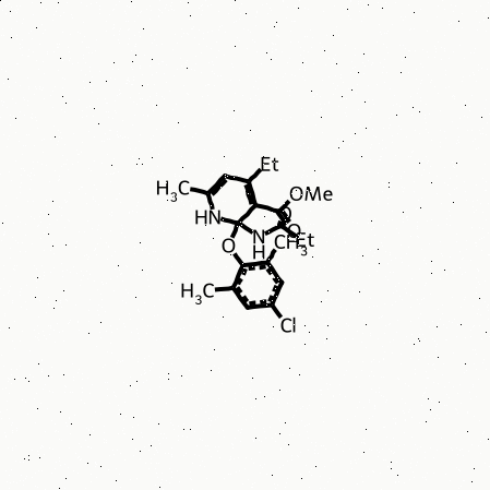 CCC(=O)NC1(Oc2c(C)cc(Cl)cc2C)NC(C)=CC(CC)=C1C(=O)OC